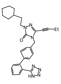 CCC#Cc1nn(CCC2CCCCC2)c(=O)n1Cc1ccc(-c2ccccc2-c2nnn[nH]2)cc1